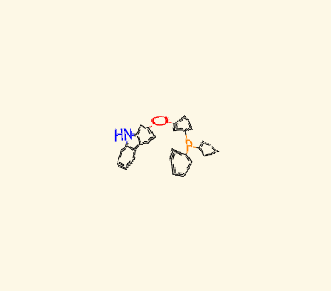 c1ccc(P(c2ccccc2)c2cccc(Oc3ccc4c(c3)[nH]c3ccccc34)c2)cc1